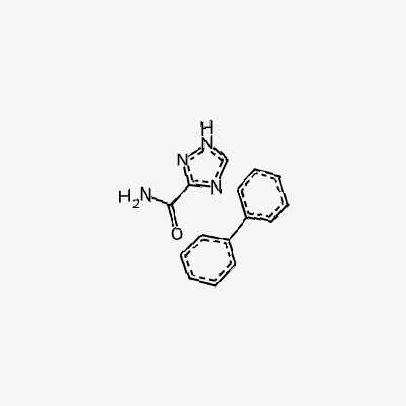 NC(=O)c1nc[nH]n1.c1ccc(-c2ccccc2)cc1